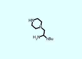 CCCCC(N)CN1CCNCC1